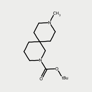 CN1CCC2(CCCN(C(=O)OC(C)(C)C)C2)CC1